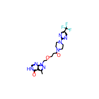 Cc1nn(CCOCCC(=O)N2CCN(c3ncc(C(F)(F)F)cn3)CC2)c2nc[nH]c(=O)c12